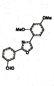 COc1ccc(-c2coc(-c3cccc(C=O)c3)n2)c(OC)c1